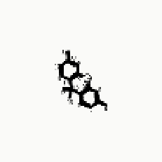 Cc1ccc2c(c1)Oc1cc(C)ccc1C2(C)C